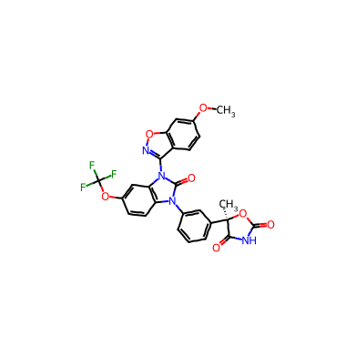 COc1ccc2c(-n3c(=O)n(-c4cccc([C@@]5(C)OC(=O)NC5=O)c4)c4ccc(OC(F)(F)F)cc43)noc2c1